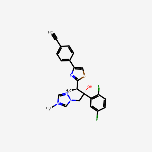 C#Cc1ccc(-c2csc([C@H](C)[C@](O)(Cn3c[n+](C)cn3)c3cc(F)ccc3F)n2)cc1